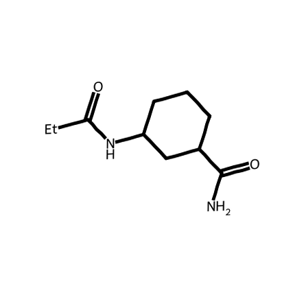 CCC(=O)NC1CCCC(C(N)=O)C1